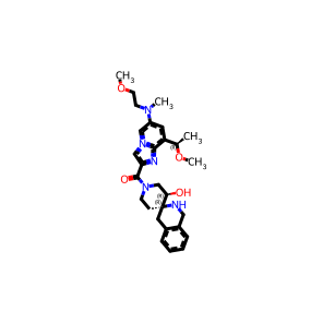 COCCN(C)c1cc([C@@H](C)OC)c2nc(C(=O)N3CC[C@]4(Cc5ccccc5CN4)[C@H](O)C3)cn2c1